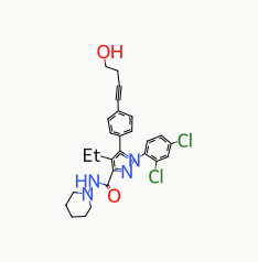 CCc1c(C(=O)NN2CCCCC2)nn(-c2ccc(Cl)cc2Cl)c1-c1ccc(C#CCCO)cc1